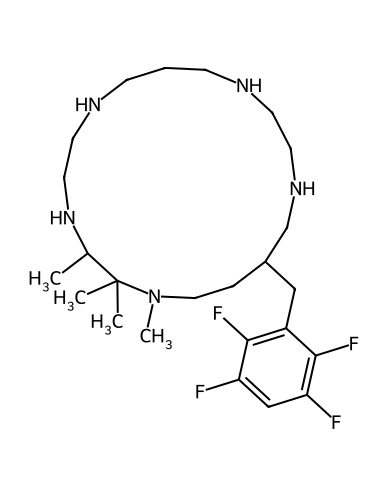 CC1NCCNCCCNCCNCC(Cc2c(F)c(F)cc(F)c2F)CCN(C)C1(C)C